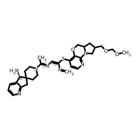 C=N/C(=C\N=C(/C)N1CCC2(CC1)Cc1ncccc1[C@H]2N)Sc1ccnc2c1OCC1CC(COCOC)CN21